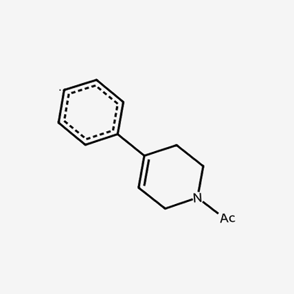 CC(=O)N1CC=C(c2cc[c]cc2)CC1